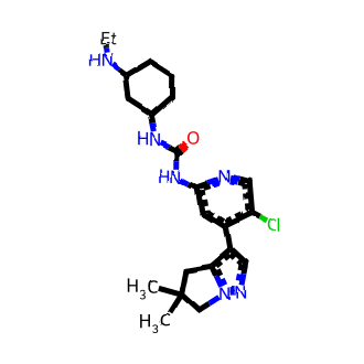 CCNC1CCCC(NC(=O)Nc2cc(-c3cnn4c3CC(C)(C)C4)c(Cl)cn2)C1